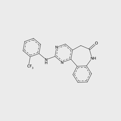 O=C1Cc2cnc(Nc3ccccc3C(F)(F)F)nc2-c2ccccc2N1